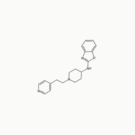 c1ccc2oc(NC3CCN(CCc4ccncc4)CC3)nc2c1